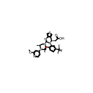 COc1cc(N2[C@H](C)CN(C3=Nc4cscc4[C@@H](CC(=O)O)N3c3cc(C(F)(F)F)ccc3OC)C[C@@H]2C)ccn1